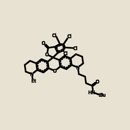 CCN1CCCc2cc3c(cc21)Oc1cc2c(cc1C31OC(=O)c3c(Cl)c(Cl)c(Cl)c(Cl)c31)CCCN2CCCC(=O)NC(C)(C)C